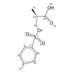 Cc1ccc(S(=O)(=O)OC[C@@H](C)C(=O)O)cc1